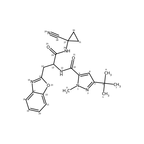 Cn1nc(C(C)(C)C)cc1C(=O)NC(Cc1nc2ccccc2o1)C(=O)NC1(C#N)CC1